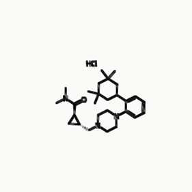 CN(C)C(=O)[C@@H]1C[C@H]1CN1CCN(c2ccccc2C2CC(C)(C)CC(C)(C)C2)CC1.Cl